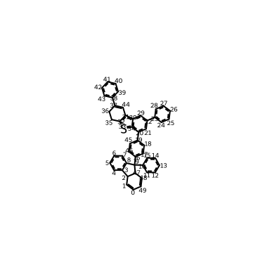 C1=CC2c3ccccc3C(c3ccccc3)(c3ccc(-c4cc(-c5ccccc5)cc5c6c(sc45)CCC(c4ccccc4)=C6)cc3)C2C=C1